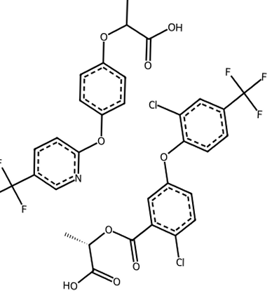 CC(Oc1ccc(Oc2ccc(C(F)(F)F)cn2)cc1)C(=O)O.C[C@H](OC(=O)c1cc(Oc2ccc(C(F)(F)F)cc2Cl)ccc1Cl)C(=O)O